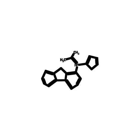 C[C](C)=[Hf]([C]1=CC=CC1)[c]1cccc2c1Cc1ccccc1-2